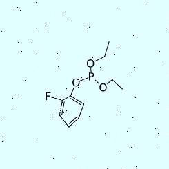 CCOP(OCC)Oc1ccccc1F